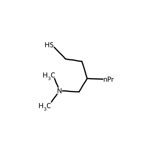 CCCC(CCS)CN(C)C